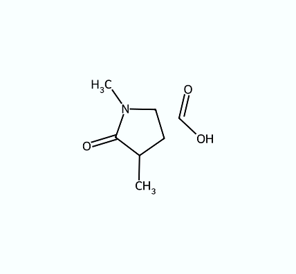 CC1CCN(C)C1=O.O=CO